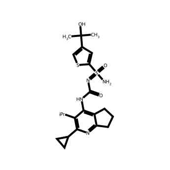 CC(C)c1c(C2CC2)nc2c(c1NC(=O)N=S(N)(=O)c1cc(C(C)(C)O)cs1)CCC2